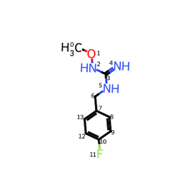 CONC(=N)NCc1ccc(F)cc1